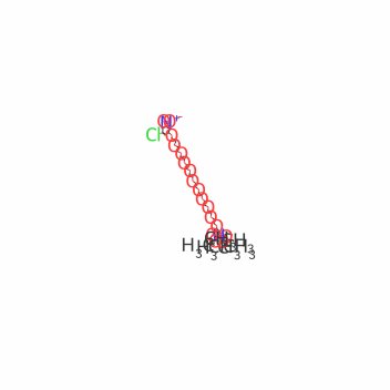 CC(C)(C)OC(=O)N(CCOCCOCCOCCOCCOCCOCCOCCOCCOCCOCCOc1cc(Cl)cc([N+](=O)[O-])c1)C(=O)OC(C)(C)C